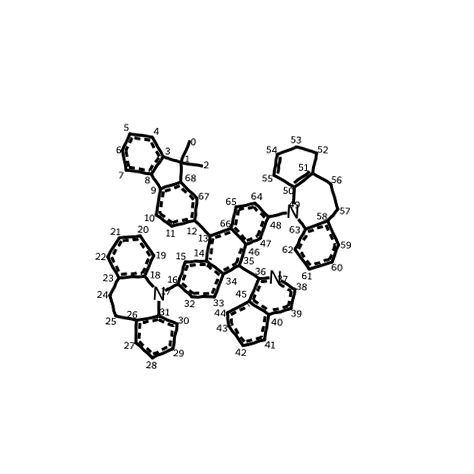 CC1(C)c2ccccc2-c2ccc(-c3c4cc(N5c6ccccc6CCc6ccccc65)ccc4c(-c4nccc5ccccc45)c4cc(N5C6=C(CCC=C6)CCc6ccccc65)ccc34)cc21